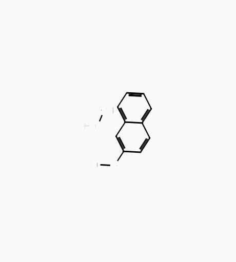 CCOc1ccc2ccccc2c1.CO